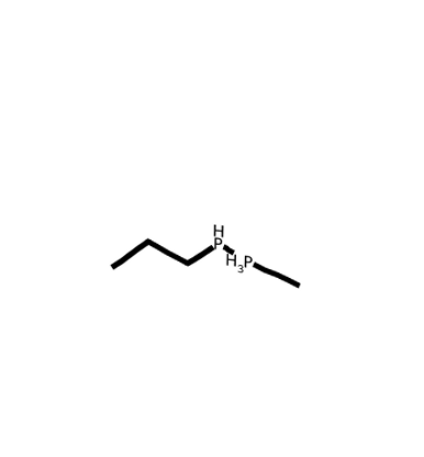 CCCP[PH3]C